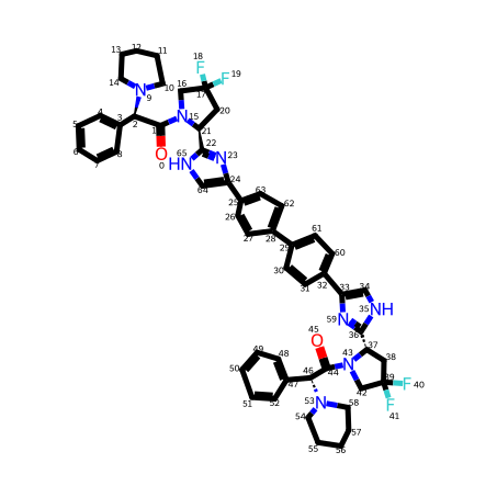 O=C([C@@H](c1ccccc1)N1CCCCC1)N1CC(F)(F)C[C@H]1c1nc(-c2ccc(-c3ccc(-c4c[nH]c([C@@H]5CC(F)(F)CN5C(=O)[C@@H](c5ccccc5)N5CCCCC5)n4)cc3)cc2)c[nH]1